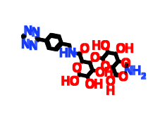 NOC1C(C(=O)O)OC(OC2C(C(=O)NCc3ccc(-c4nncnn4)cc3)OC(O)C(O)C2O)C(O)C1O